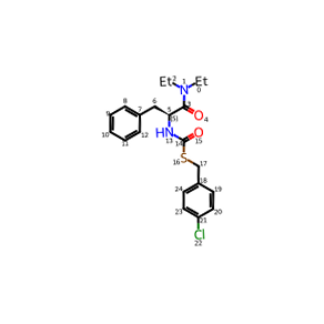 CCN(CC)C(=O)[C@H](Cc1ccccc1)NC(=O)SCc1ccc(Cl)cc1